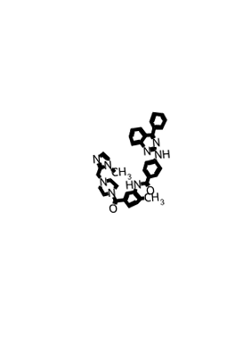 Cc1ccc(C(=O)N2CCN(Cc3nccn3C)CC2)cc1NC(=O)c1ccc(Nc2nc(-c3ccccc3)c3ccccc3n2)cc1